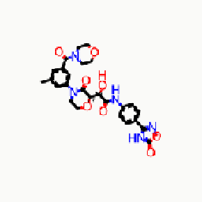 Cc1cc(C(=O)N2CCOCC2)cc(N2CCO[C@H]([C@@H](O)C(=O)Nc3ccc(-c4noc(=O)[nH]4)cc3)C2=O)c1